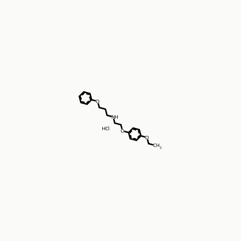 CCOc1ccc(OCCNCCCOc2ccccc2)cc1.Cl